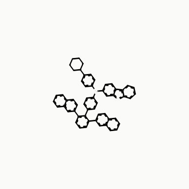 c1cc(-c2ccc3ccccc3c2)c(-c2ccc(N(c3ccc(C4CCCCC4)cc3)c3ccc4c(c3)sc3ccccc34)cc2)c(-c2ccc3ccccc3c2)c1